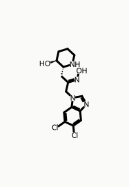 ON=C(C[C@H]1NCCC[C@@H]1O)Cn1cnc2cc(Cl)c(Cl)cc21